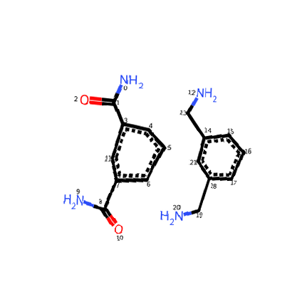 NC(=O)c1cccc(C(N)=O)c1.NCc1cccc(CN)c1